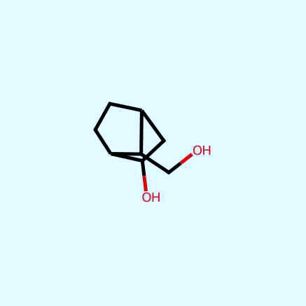 OCC1C2CCC1C(O)C2